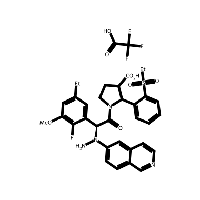 CCc1cc(OC)c(F)c([C@@H](C(=O)N2CCC(C(=O)O)C2c2ccccc2S(=O)(=O)CC)N(N)c2ccc3cnccc3c2)c1.O=C(O)C(F)(F)F